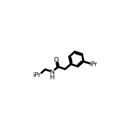 CC(C)CNC(=O)Cc1cccc(C(C)C)c1